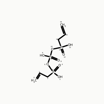 C=CCP(=O)(O)OP(=O)(O)OP(=O)(O)CC=C